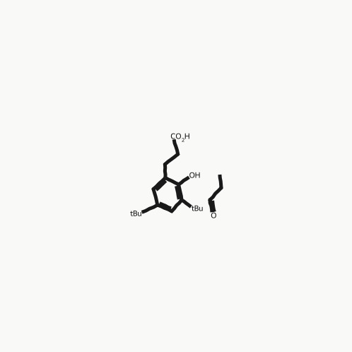 CC(C)(C)c1cc(CCC(=O)O)c(O)c(C(C)(C)C)c1.CCC=O